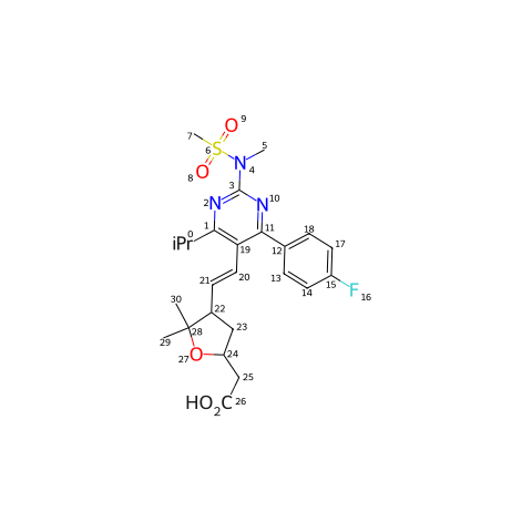 CC(C)c1nc(N(C)S(C)(=O)=O)nc(-c2ccc(F)cc2)c1/C=C/C1CC(CC(=O)O)OC1(C)C